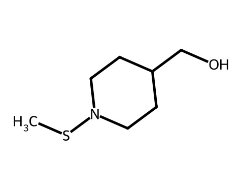 CSN1CCC(CO)CC1